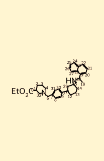 CCOC(=O)C1CCCN(Cc2ccc(C3CCCC(NC(C)c4cccc5ccccc45)C3)cc2)C1